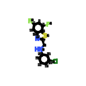 Fc1cc(F)c2sc(CNc3cccc(Cl)c3)nc2c1